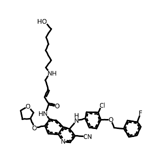 N#Cc1cnc2cc(OC3CCOC3)c(NC(=O)C=CCNCCCCCCO)cc2c1Nc1ccc(OCc2cccc(F)c2)c(Cl)c1